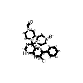 O=CN1CCN(C2(N3CC[S+]([O-])CC3)N=CNc3nc(Cl)c(-c4ccccc4)nc32)CC1